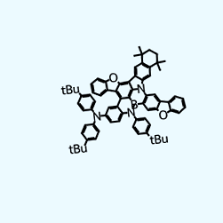 CC(C)(C)c1ccc(N2B3c4cc5oc6ccccc6c5cc4-n4c5cc6c(cc5c5c7oc8ccccc8c7c(c3c54)-c3cc(N(c4ccc(C(C)(C)C)cc4)c4ccc(C(C)(C)C)cc4)ccc32)C(C)(C)CCC6(C)C)cc1